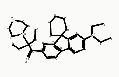 CCN(CC)c1ccc2c(c1)C1(CCCCC1)c1cc(C(=O)C(CC)(CC)N3CCOCC3)ccc1-2